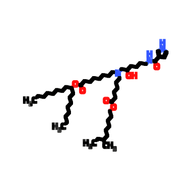 CCCCCCCCC(CCCCCCCC)OC(=O)CCCCCCCN(CCCCCC(=O)OCCCCCCC(C)CC)CC(O)CCCCNC(=O)c1cc[nH]c1